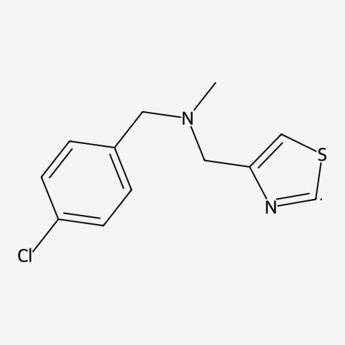 CN(Cc1ccc(Cl)cc1)Cc1cs[c]n1